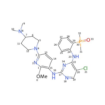 COc1nc(N2CCC(N(C)C)CC2)ccc1Nc1ncc(Cl)c(Nc2ccccc2P(C)(C)=O)n1